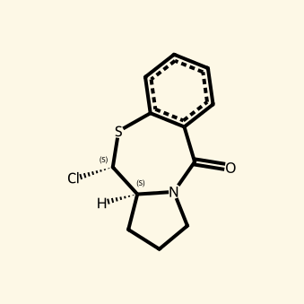 O=C1c2ccccc2S[C@@H](Cl)[C@@H]2CCCN12